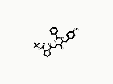 CC(C)(C)OC(=O)[C@@H]1CCCN1C(=O)CCC(=O)C(Cc1ccc(N)cc1)NC(=O)c1ccccc1